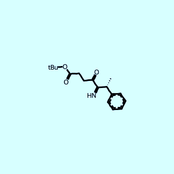 C[C@@H](C(=N)C(=O)CCC(=O)OC(C)(C)C)c1ccccc1